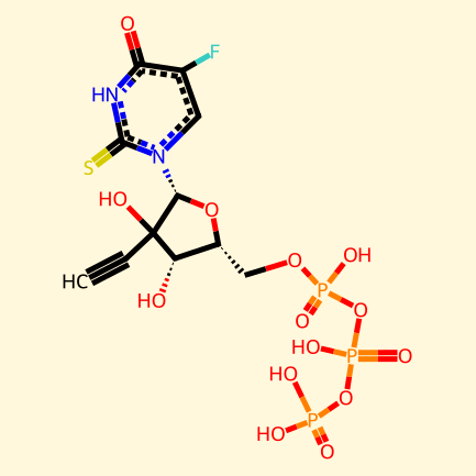 C#CC1(O)[C@@H](O)[C@@H](COP(=O)(O)OP(=O)(O)OP(=O)(O)O)O[C@H]1n1cc(F)c(=O)[nH]c1=S